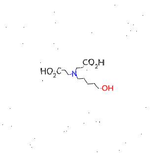 O=C(O)CCN(CCCCCO)CCC(=O)O